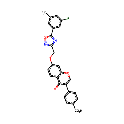 O=C(O)c1ccc(-c2coc3cc(OCc4noc(-c5cc(F)cc(C(F)(F)F)c5)n4)ccc3c2=O)cc1